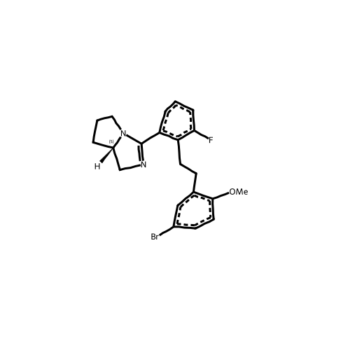 COc1ccc(Br)cc1CCc1c(F)cccc1C1=NC[C@@H]2CCCN12